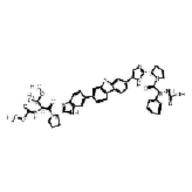 COC(=O)N[C@H](C(=O)N1CCC[C@H]1c1nc2ccc(-c3ccc4c(c3)sc3cc(-c5cnc([C@@H]6CCCN6C(=O)[C@H](NC(=O)O)c6ccccc6)[nH]5)ccc34)cc2[nH]1)[C@@H](C)OC